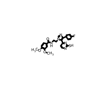 COc1ccc(C(=O)NCCn2cnc(-c3ccc(F)cc3)c2-c2ccnc(S)n2)cc1OC